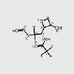 CC(C)(C)C(=O)N[C@@H](C1OCC1O)C(C)(C)SN=O